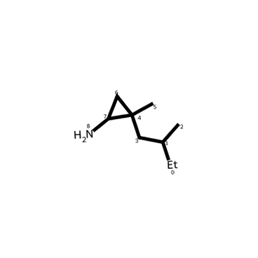 CCC(C)CC1(C)CC1N